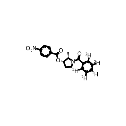 [2H]c1c([2H])c([2H])c(C(=O)N2CC[C@H](OC(=O)c3ccc([N+](=O)[O-])cc3)[C@H]2C)c([2H])c1[2H]